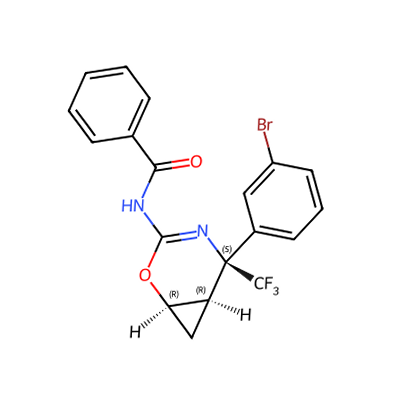 O=C(NC1=N[C@@](c2cccc(Br)c2)(C(F)(F)F)[C@H]2C[C@H]2O1)c1ccccc1